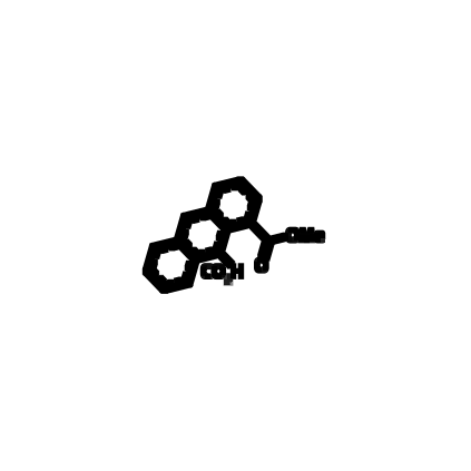 COC(=O)c1cccc2cc3ccccc3c(C(=O)O)c12